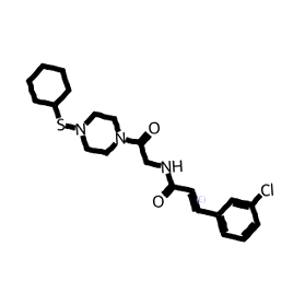 O=C(/C=C/c1cccc(Cl)c1)NCC(=O)N1CCN(SC2CCCCC2)CC1